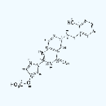 N#Cc1ccccc1CNc1ccc2nc(-n3cc(OC(=O)O)cn3)[nH]c(=O)c2c1